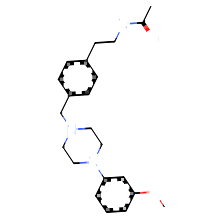 COc1cccc(N2CCN(Cc3ccc(CCNC(C)=O)cc3)CC2)c1